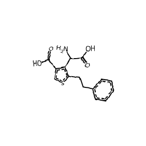 NC(C(=O)O)c1c(C(=O)O)csc1CCc1ccccc1